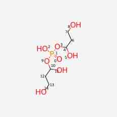 O=P(O)(OC(O)CCO)OC(O)CCO